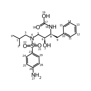 CC(C)CN(C[C@H](O)[C@H](Cc1ccccc1)NC(=O)O)S(=O)(=O)c1ccc(N)cc1